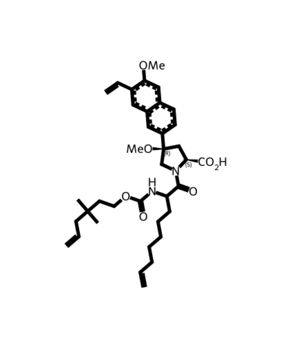 C=CCCCCCC(NC(=O)OCCC(C)(C)CC=C)C(=O)N1C[C@](OC)(c2ccc3cc(OC)c(C=C)cc3c2)C[C@H]1C(=O)O